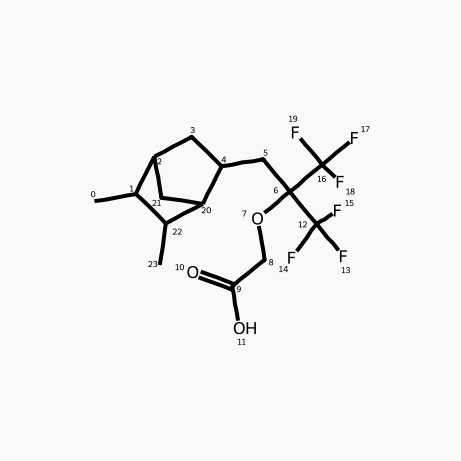 CC1C2CC(CC(OCC(=O)O)(C(F)(F)F)C(F)(F)F)C(C2)C1C